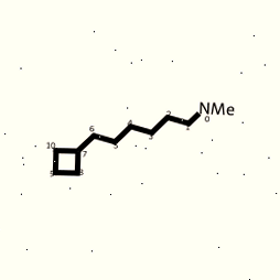 CNCCCCCCC1CCC1